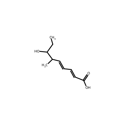 CCC(O)C(C)C=CC=CC(=O)O